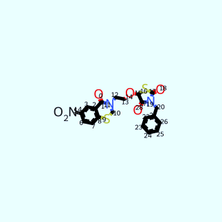 O=C1c2cc([N+](=O)[O-])ccc2SCN1CCOC1SC(=O)N(Cc2ccccc2)C1=O